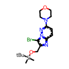 CC(C)(C)[Si](C)(C)OCc1nc2ccc(N3CCOCC3)nn2c1Br